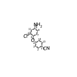 N#Cc1ccc(Oc2ccc(N)cc2Cl)cc1